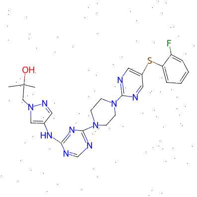 CC(C)(O)Cn1cc(Nc2ncnc(N3CCN(c4ncc(Sc5ccccc5F)cn4)CC3)n2)cn1